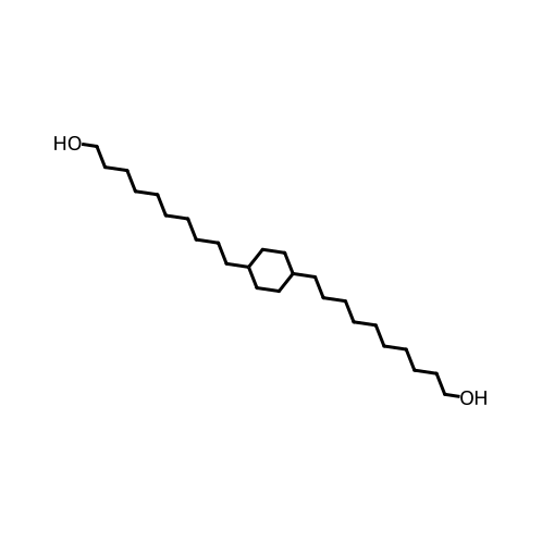 OCCCCCCCCCCC1CCC(CCCCCCCCCCO)CC1